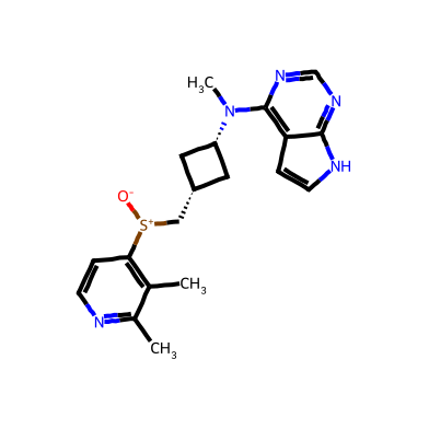 Cc1nccc([S+]([O-])C[C@H]2C[C@@H](N(C)c3ncnc4[nH]ccc34)C2)c1C